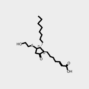 CCCCCCCC[C@H]1C(SCCO)CC(=O)[C@@H]1CCCCC=CC(=O)O